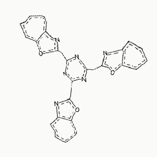 c1ccc2oc(-c3nc(-c4nc5ccccc5o4)nc(-c4nc5ccccc5o4)n3)nc2c1